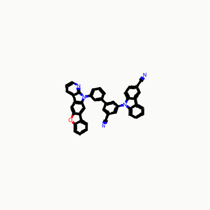 N#Cc1cc(-c2cccc(-n3c4cc5c(cc4c4cccnc43)oc3ccccc35)c2)cc(-n2c3ccccc3c3cc(C#N)ccc32)c1